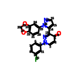 O=c1ccn(-c2cccc(F)c2)nc1-c1ccnn1-c1ccc2c(c1)OCO2